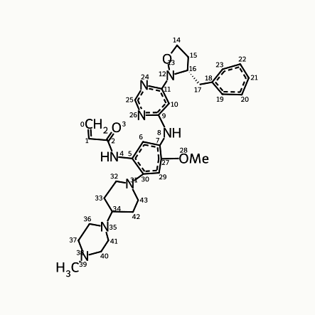 C=CC(=O)Nc1cc(Nc2cc(N3OCC[C@@H]3Cc3ccccc3)ncn2)c(OC)cc1N1CCC(N2CCN(C)CC2)CC1